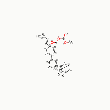 CCCOC(=O)OCOC1(C=CC(=O)O)C=CC(c2cccc(C34CC5CC(CC(C5)C3)C4)c2)=CC1